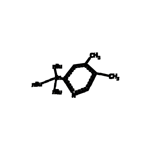 CCC[CH2][Sn]([CH2]CCC)([CH2]CCC)[c]1cc(C)c(C)cn1